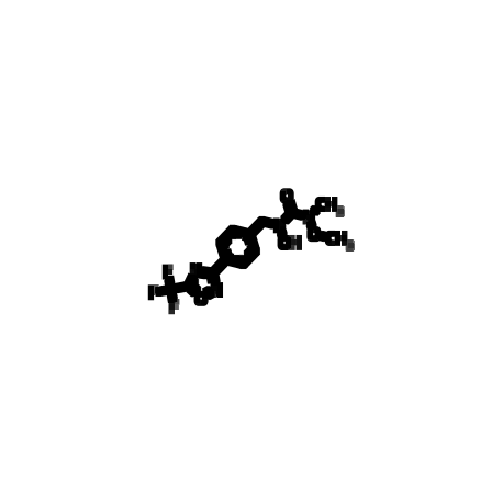 CON(C)C(=O)N(O)Cc1ccc(-c2noc(C(F)(F)F)n2)cc1